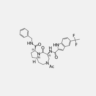 CC(=O)N1CC[C@H]2CC[C@@H](C(=O)NCc3ccccc3)N2C(=O)[C@@H](NC(=O)c2cc3cc(C(C)(F)F)ccc3[nH]2)C1